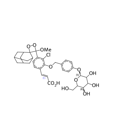 COC1(c2ccc(/C=C/C(=O)O)c(OCc3ccc(O[C@@H]4OC(CO)[C@H](O)C(O)C4O)cc3)c2Cl)OOC12C1CC3CC(C1)CC2C3